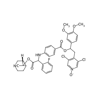 COc1ccc(C(Cc2c(Cl)c[n+]([O-])cc2Cl)OC(=O)c2ccc(NC(C(=O)O[C@H]3CN4CCC3CC4)c3ccccc3F)cc2)cc1OC